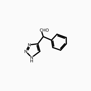 O=CC(c1ccccc1)c1c[nH]nn1